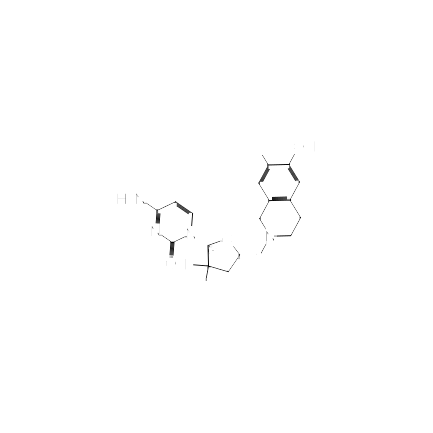 Nc1ccn([C@@H]2O[C@H](CN3CCc4cc(O)c(F)cc4C3)CC2(F)F)c(=O)n1